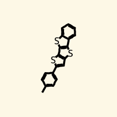 Cc1ccc(-c2cc3sc4c5ccccc5sc4c3s2)cc1